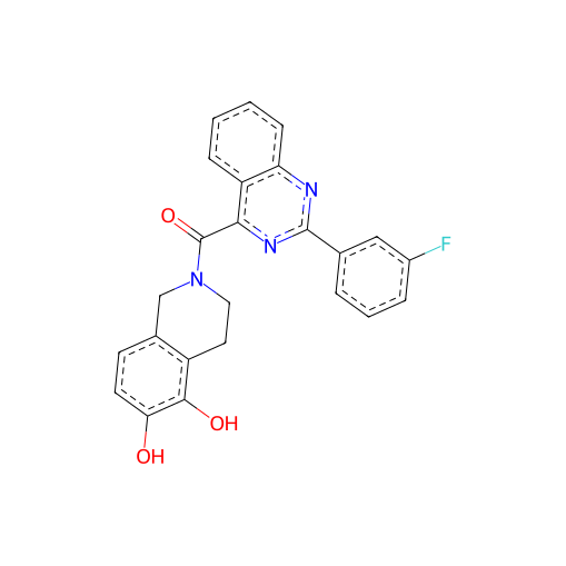 O=C(c1nc(-c2cccc(F)c2)nc2ccccc12)N1CCc2c(ccc(O)c2O)C1